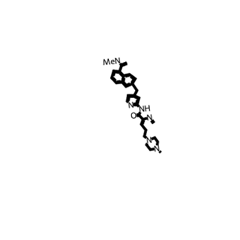 C=N/C(=C\CCN1CCN(C)CC1)C(=O)Nc1cc(Cc2ccc3c(C(=C)NC)cccc3c2)ccn1